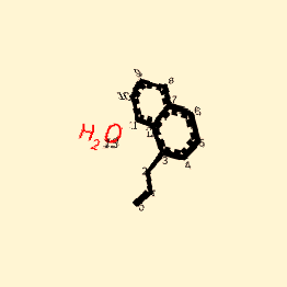 C=CCc1cccc2ccccc12.O